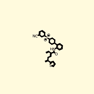 C=C/C(=C\CC(=C)c1cccs1)C(=O)Nc1ccccc1C1CCC(S(=O)(=O)C2C=CC=C(C#N)C2)CC1